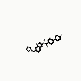 O=C(Nc1cnc2cc(CN3CCCC3)ccc2c1)c1ccc(-c2ccc(F)cc2)nc1